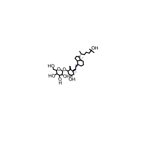 C=C1/C(=C\C=C2/CCC[C@@]3(C)C2CC[C@@H]3C(C)CCCC(C)(C)O)C[C@@H](O)CC1OC1OC(CO)C(O)C(O)C1O